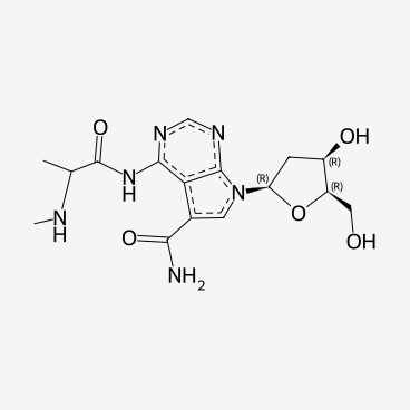 CNC(C)C(=O)Nc1ncnc2c1c(C(N)=O)cn2[C@H]1C[C@@H](O)[C@@H](CO)O1